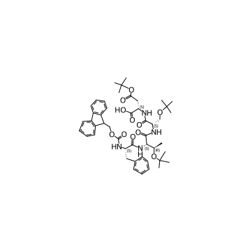 C[C@@H](OC(C)(C)C)[C@H](NC(=O)[C@H](Cc1ccccc1)NC(=O)OCC1c2ccccc2-c2ccccc21)C(=O)N[C@@H](COC(C)(C)C)C(=O)N[C@@H](CC(=O)OC(C)(C)C)C(=O)O